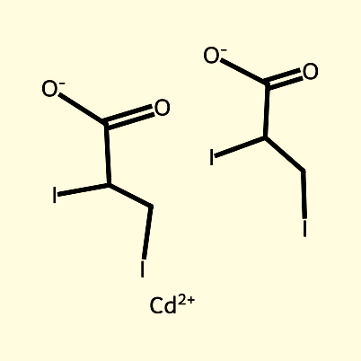 O=C([O-])C(I)CI.O=C([O-])C(I)CI.[Cd+2]